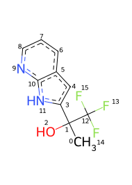 CC(O)(c1cc2cccnc2[nH]1)C(F)(F)F